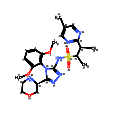 COc1cccc(OC)c1-n1c(NS(=O)(=O)C(C)C(C)c2ncc(C)cn2)nnc1[C@H]1COCCN1